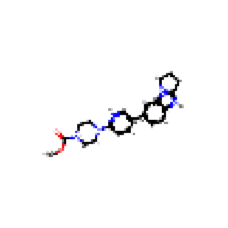 CC(C)(C)OC(=O)N1CCN(c2ccc(-c3ccc4nc5n(c4c3)CCC5)cn2)CC1